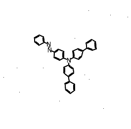 c1ccc(N=Nc2ccc(N(c3ccc(-c4ccccc4)cc3)c3ccc(-c4ccccc4)cc3)cc2)cc1